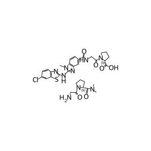 CN(C)C(=O)[C@@H]1CCCN1C(=O)CN.Cn1c(Nc2nc3ccc(Cl)cc3s2)nc2cc(C(=O)NCC(=O)N3CCC[C@H]3C(=O)O)ccc21